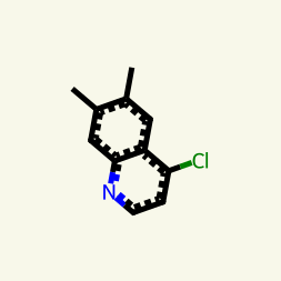 Cc1cc2nccc(Cl)c2cc1C